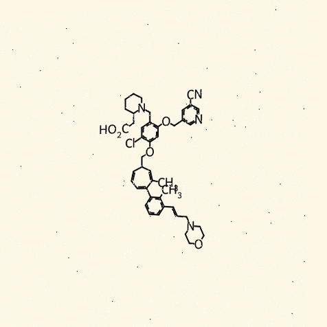 CC1=CC(COc2cc(OCc3cncc(C#N)c3)c(CN3CCCC[C@@H]3CC(=O)O)cc2Cl)C=CC=C1c1cccc(/C=C/CN2CCOCC2)c1C